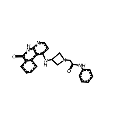 O=C(CN1CC(Nc2ccnc3[nH]c(=O)c4ccccc4c23)C1)Nc1ccccc1